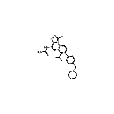 Cc1nnc2c(NC(N)=O)cc3c(C(C)C)c(-c4ccc(CN5CCCCC5)cc4)ccc3n12